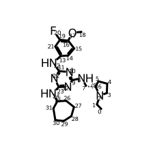 CCN1CCC[C@H]1CNc1nc(Nc2ccc(OC)c(F)c2)nc(NC2CCCCCC2)n1